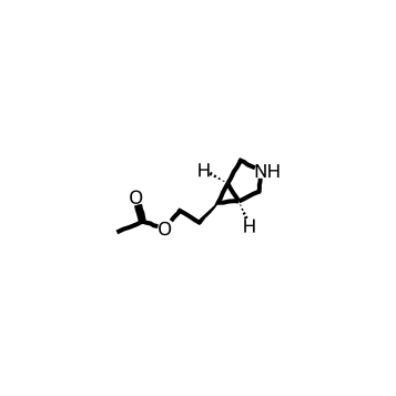 CC(=O)OCC[C@H]1[C@H]2CNC[C@@H]12